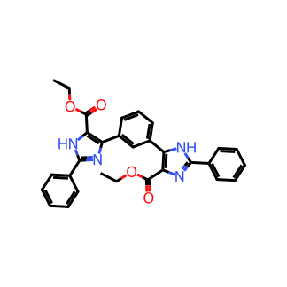 CCOC(=O)c1nc(-c2ccccc2)[nH]c1-c1cccc(-c2nc(-c3ccccc3)[nH]c2C(=O)OCC)c1